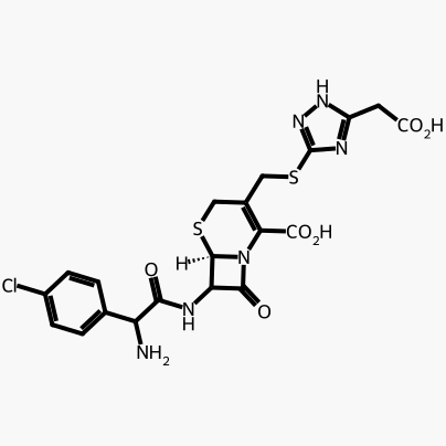 NC(C(=O)NC1C(=O)N2C(C(=O)O)=C(CSc3n[nH]c(CC(=O)O)n3)CS[C@H]12)c1ccc(Cl)cc1